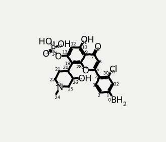 Bc1ccc(-c2cc(=O)c3c(O)cc(OP(=O)(O)O)c(C4CCN(C)CC4O)c3o2)c(Cl)c1